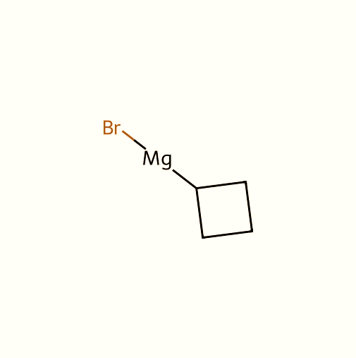 [Br][Mg][CH]1CCC1